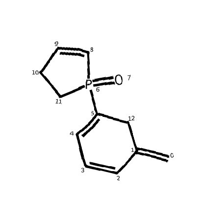 C=C1C=CC=C(P2(=O)C=CCC2)C1